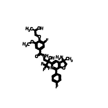 COc1cc(C(=O)NCC(O)(c2cc3c(c(-c4ccc(F)cc4)n2)OC[C@@]3(C)N)C(F)(F)F)cc(F)c1OC[C@@H](C)O